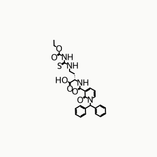 CCOC(=O)NC(=S)NCC[C@H](NC(=O)c1cccn(C(c2ccccc2)c2ccccc2)c1=O)C(=O)O